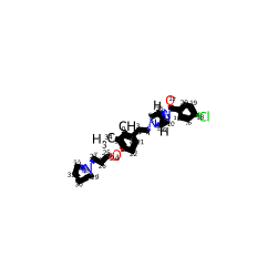 Cc1c(CCN2C[C@H]3C[C@@H]2CN3C(=O)c2ccc(Cl)cc2)ccc(OCCCN2CCCC2)c1C